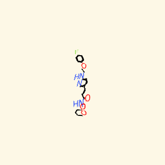 O=C(/C=C/c1ccc(NCCOc2ccc(F)cc2)nc1)NOC1CCCCO1